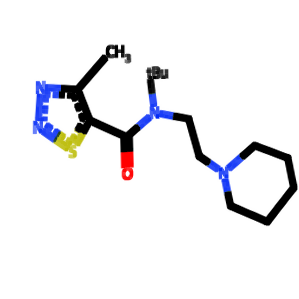 Cc1nnsc1C(=O)N(CCN1CCCCC1)C(C)(C)C